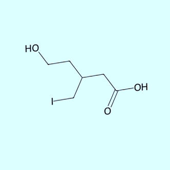 O=C(O)CC(CI)CCO